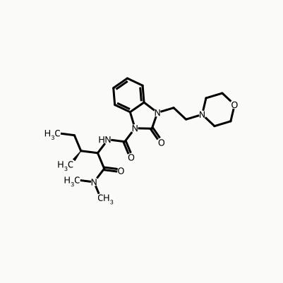 CC[C@H](C)C(NC(=O)n1c(=O)n(CCN2CCOCC2)c2ccccc21)C(=O)N(C)C